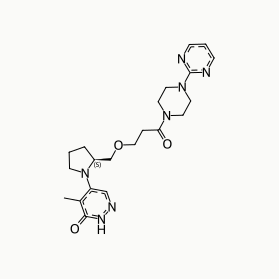 Cc1c(N2CCC[C@H]2COCCC(=O)N2CCN(c3ncccn3)CC2)cn[nH]c1=O